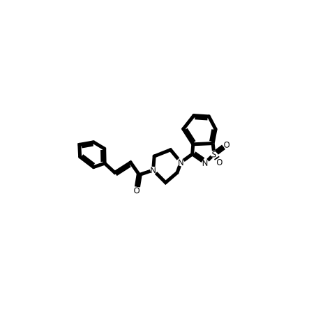 O=C(/C=C/c1ccccc1)N1CCN(C2=NS(=O)(=O)c3ccccc32)CC1